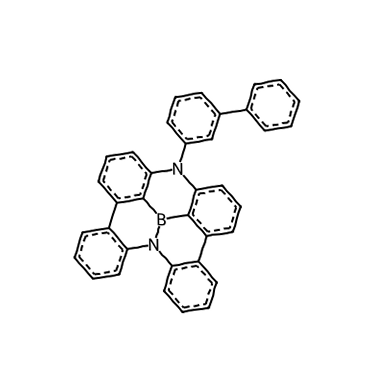 c1ccc(-c2cccc(N3c4cccc5c4B4c6c(cccc63)-c3ccccc3N4c3ccccc3-5)c2)cc1